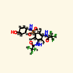 Cc1c(NC(=O)C(F)(F)F)c(C)c(S(=O)(=O)Nc2ccc(O)cc2)c(C)c1NC(=O)C(F)(F)F